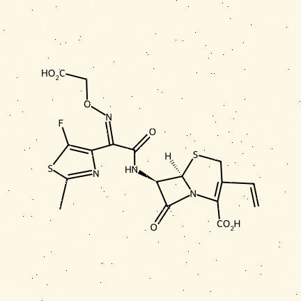 C=CC1=C(C(=O)O)N2C(=O)[C@@H](NC(=O)/C(=N/OCC(=O)O)c3nc(C)sc3F)[C@H]2SC1